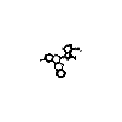 CCC(C1=C(c2cccc(F)c2)Cc2ccccc2O1)n1nc(I)c2c(N)ncnc21